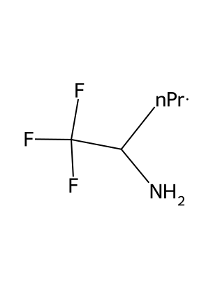 CC[CH]C(N)C(F)(F)F